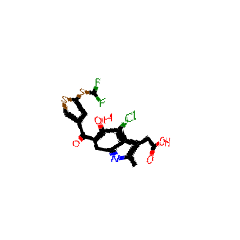 CC1=C(CC(=O)O)C2=C(Cl)C(O)=C(C(=O)c3csc(SC(F)F)c3)CC2=N1